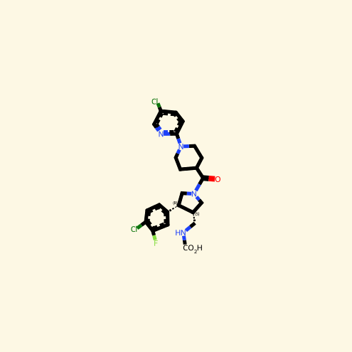 O=C(O)NC[C@H]1CN(C(=O)C2CCN(c3ccc(Cl)cn3)CC2)C[C@H]1c1ccc(Cl)c(F)c1